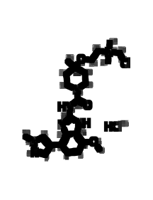 COc1ccc(-c2cnn(C)c2)c2nc(NC(=O)N3CCC(C)(OCC[N+](C)(C)CCl)CC3)[nH]c12.Cl